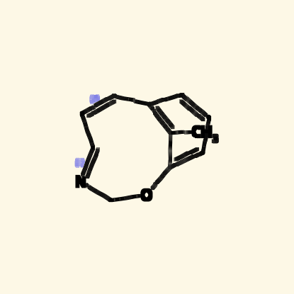 Cc1c2cccc1OC/N=C/C=C\2